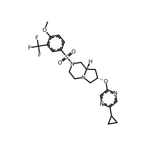 COc1ccc(S(=O)(=O)N2CCN3C[C@@H](Oc4cnc(C5CC5)cn4)C[C@H]3C2)cc1C(F)(F)F